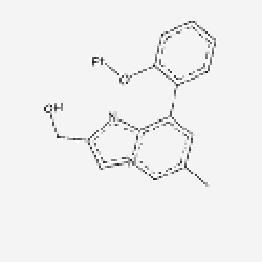 CCOc1ccccc1-c1cc(C)cn2cc(CO)nc12